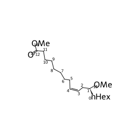 CCCCCC[C@@H](C/C=C\CCCCCCCC(=O)OC)OC